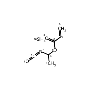 C=CC(=O)OC(C)N=C=O.[SiH4]